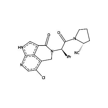 CC(C)[C@H](C(=O)N1CCC[C@@H]1C#N)N1Cc2c(Cl)cnc3[nH]cc(c23)C1=O